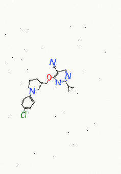 N#Cc1cnc(C2CC2)nc1OCC1CCCN(c2ccc(Cl)cc2)C1